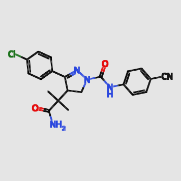 CC(C)(C(N)=O)C1CN(C(=O)Nc2ccc(C#N)cc2)N=C1c1ccc(Cl)cc1